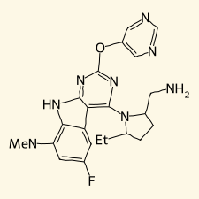 CCC1CCC(CN)N1c1nc(Oc2cncnc2)nc2[nH]c3c(NC)cc(F)cc3c12